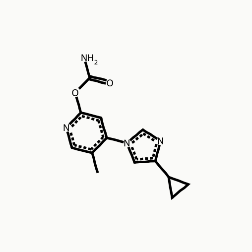 Cc1cnc(OC(N)=O)cc1-n1cnc(C2CC2)c1